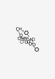 CCCCOC(=O)CC1(C(=O)N[C@@H](Cc2ccccc2)C(=O)N2CCC[C@H]2C(=O)OCc2ccccc2)CCCC1